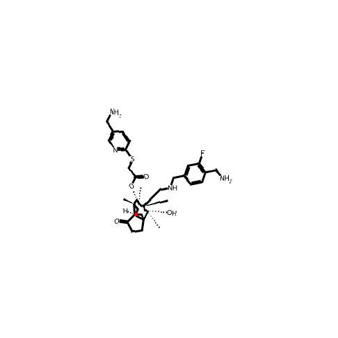 C[C@@H]1CC[C@@]23CCC(=O)[C@H]2[C@]1(C)[C@H](OC(=O)CSc1ccc(CN)cn1)C[C@](C)(CNCc1ccc(CN)c(F)c1)[C@@H](O)[C@@H]3C